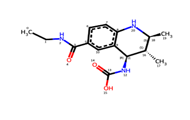 CCNC(=O)c1ccc2c(c1)[C@H](NC(=O)O)[C@@H](C)[C@H](C)N2